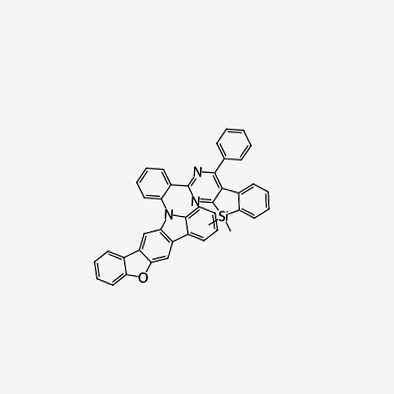 C[Si]1(C)c2ccccc2-c2c(-c3ccccc3)nc(-c3ccccc3-n3c4ccccc4c4cc5oc6ccccc6c5cc43)nc21